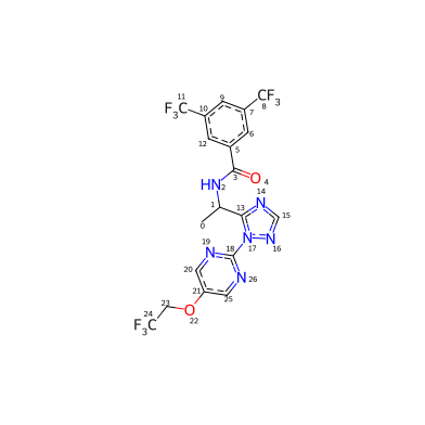 CC(NC(=O)c1cc(C(F)(F)F)cc(C(F)(F)F)c1)c1ncnn1-c1ncc(OCC(F)(F)F)cn1